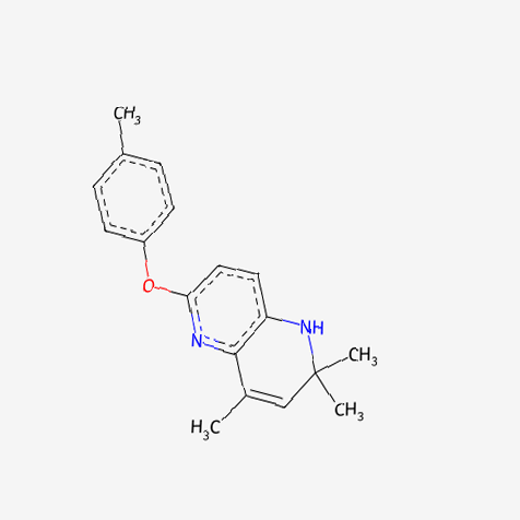 CC1=CC(C)(C)Nc2ccc(Oc3ccc(C)cc3)nc21